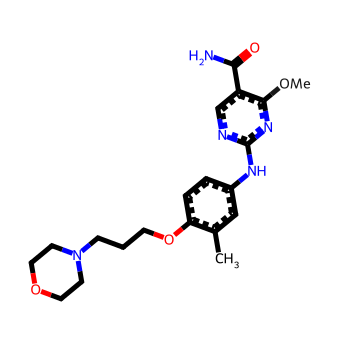 COc1nc(Nc2ccc(OCCCN3CCOCC3)c(C)c2)ncc1C(N)=O